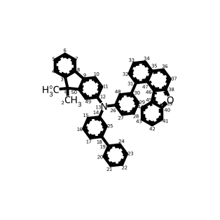 CC1(C)c2ccccc2-c2ccc(N(c3cccc(-c4ccccc4)c3)c3cccc(-c4cccc5ccc6oc7ccccc7c6c45)c3)cc21